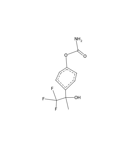 CC(O)(c1ccc(OC(N)=O)cc1)C(F)(F)F